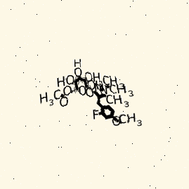 COc1ccc(Cc2c(O[C@]3(O)O[C@H](COC(C)=O)[C@@H](O)[C@H](O)[C@H]3O)nn(C(C)C)c2C)c(F)c1